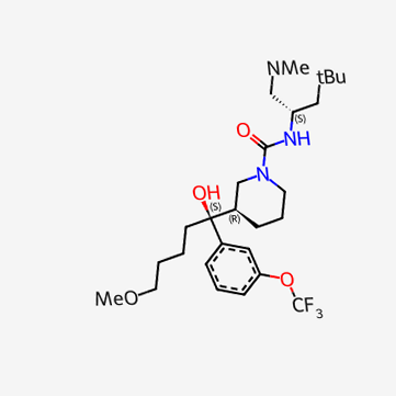 CNC[C@H](CC(C)(C)C)NC(=O)N1CCC[C@@H]([C@@](O)(CCCCOC)c2cccc(OC(F)(F)F)c2)C1